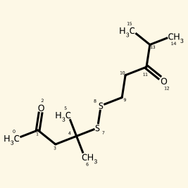 CC(=O)CC(C)(C)SSCCC(=O)C(C)C